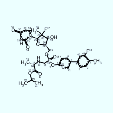 Cc1ccc(-c2ccc(OP(=O)(CN[C@@H](C)C(=O)OC(C)C)OC[C@H]3O[C@@H](n4ccc(=O)[nH]c4=O)[C@](C)(F)[C@@H]3O)cc2)cc1F